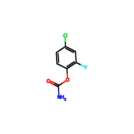 NC(=O)Oc1ccc(Cl)cc1F